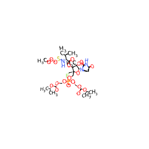 COOOSN[C@@H](C(=O)O[C@@H]1[C@@](CF)(COP(=O)(OCOC(=O)OC(C)C)OCOC(=O)OC(C)C)O[C@@H](n2ccc(=O)[nH]c2=O)[C@]1(C)O)C(C)C